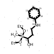 CCO[Si](C)(OCC)C(O)CCNc1ccccc1